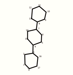 [CH]1CCC(C2CCC(C3CCCCC3)CC2)CC1